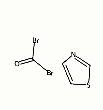 O=C(Br)Br.c1cscn1